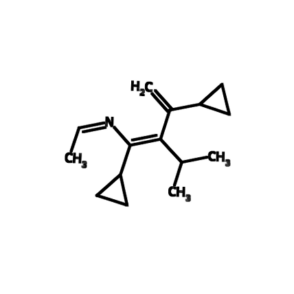 C=C(/C(=C(\N=C/C)C1CC1)C(C)C)C1CC1